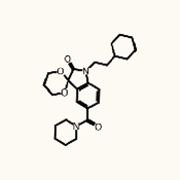 O=C(c1ccc2c(c1)C1(OCCCO1)C(=O)N2CCC1CCCCC1)N1CCCCC1